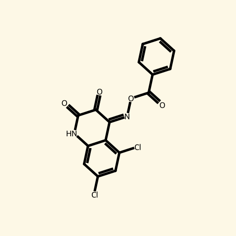 O=C1Nc2cc(Cl)cc(Cl)c2C(=NOC(=O)c2ccccc2)C1=O